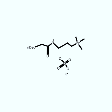 CCCCCCCCCCCC(=O)NCCC[N+](C)(C)C.O=S(=O)([O-])[O-].[K+]